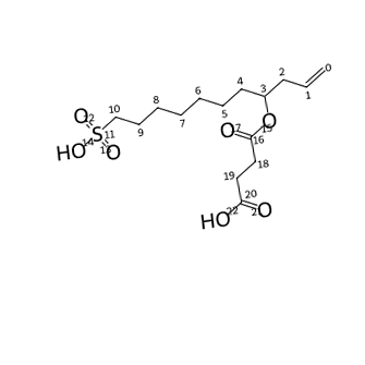 C=CCC(CCCCCCCS(=O)(=O)O)OC(=O)CCC(=O)O